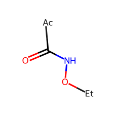 CCONC(=O)C(C)=O